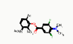 CC(=O)Nc1ccc(C(C)=O)c(OC(=O)c2cc(F)c(N(C)C)c(F)c2)c1[N+](=O)[O-]